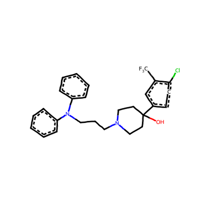 OC1(c2ccc(Cl)c(C(F)(F)F)c2)CCN(CCCN(c2ccccc2)c2ccccc2)CC1